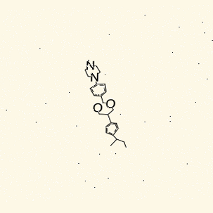 CCC(C)c1ccc(C2COC(c3ccc(N4CCN(C)CC4)cc3)OC2)cc1